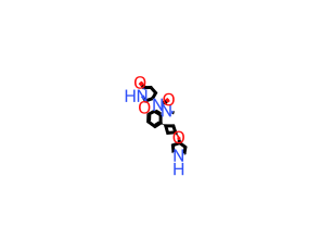 Cn1c(=O)n(C2CCC(=O)NC2=O)c2cccc([C@H]3C[C@H](OC4CCNCC4)C3)c21